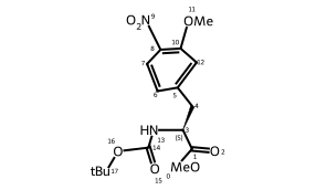 COC(=O)[C@H](Cc1ccc([N+](=O)[O-])c(OC)c1)NC(=O)OC(C)(C)C